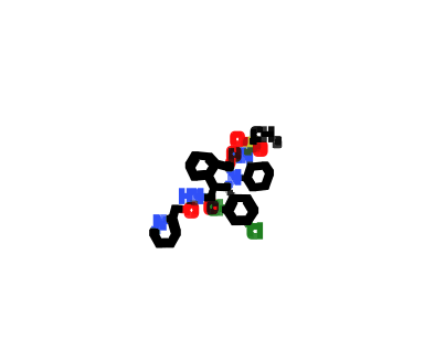 CS(=O)(=O)N[C@@H]1CCCC[C@H]1N1C(=O)c2ccccc2[C@H](C(=O)NOCc2ccccn2)[C@H]1c1ccc(Cl)cc1Cl